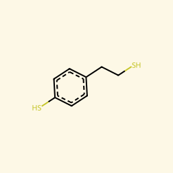 SCCc1ccc(S)cc1